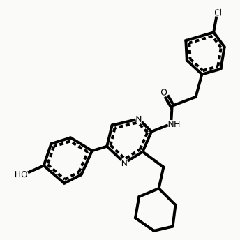 O=C(Cc1ccc(Cl)cc1)Nc1ncc(-c2ccc(O)cc2)nc1CC1CCCCC1